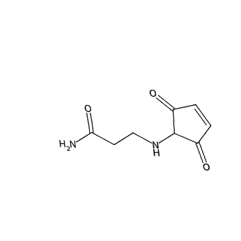 NC(=O)CCNC1C(=O)C=CC1=O